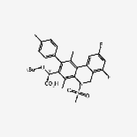 Cc1ccc(-c2c(C)c3c(c(C)c2[C@H](OC(C)(C)C)C(=O)O)N(S(C)(=O)=O)Cc2c(F)cc(F)cc2-3)cc1